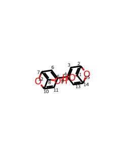 Oc1c2cc(-c3cc4c(O)c(c3)O4)cc1O2